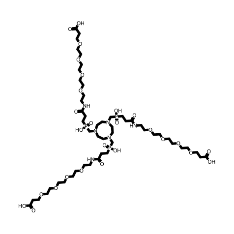 O=C(O)CCOCCOCCOCCOCCNC(=O)CCP(=O)(O)CN1CCN(CP(=O)(O)CCC(=O)NCCOCCOCCOCCOCCC(=O)O)CCN(CP(=O)(O)CCC(=O)NCCOCCOCCOCCOCCC(=O)O)CC1